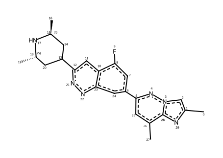 Cc1cn2nc(-c3cc(F)c4cc(C5C[C@H](C)N[C@@H](C)C5)nnc4c3)cc(C)c2n1